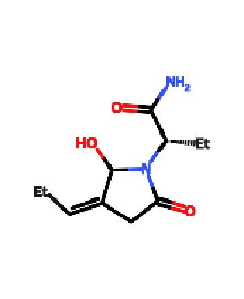 CC/C=C1/CC(=O)N([C@@H](CC)C(N)=O)C1O